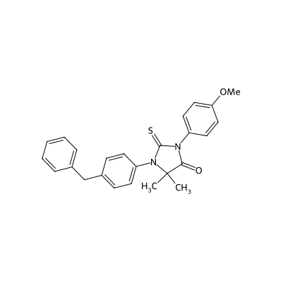 COc1ccc(N2C(=O)C(C)(C)N(c3ccc(Cc4ccccc4)cc3)C2=S)cc1